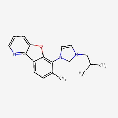 Cc1ccc2c(oc3cccnc32)c1N1C=CN(CC(C)C)C1